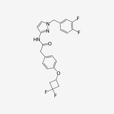 O=C(Cc1ccc(OC2CC(F)(F)C2)cc1)Nc1ccn(Cc2ccc(F)c(F)c2)n1